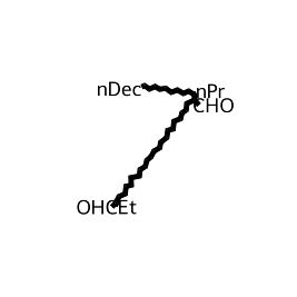 CCCCCCCCCCCCCCCCCCCC(CCC)C(C=O)CCCCCCCCCCCCCCCCCCCCCC(C=O)CC